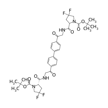 CC(C)(C)OC(=O)N1CC(F)(F)CC1C(=O)NCC(=O)c1ccc(-c2ccc(C(=O)CNC(=O)[C@@H]3CC(F)(F)CN3C(=O)OC(C)(C)C)cc2)cc1